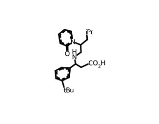 CC(C)CC(CNC(CC(=O)O)c1cccc(C(C)(C)C)c1)n1ccccc1=O